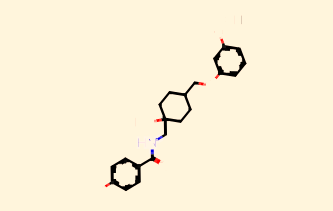 COc1cccc(OCC2CCC(O)(CNC(=O)c3ccc(O)cc3)CC2)c1